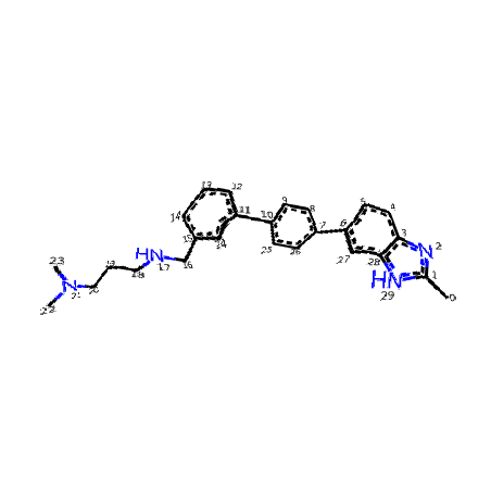 Cc1nc2ccc(-c3ccc(-c4cccc(CNCCCN(C)C)c4)cc3)cc2[nH]1